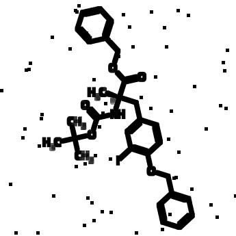 CC(C)(C)OC(=O)N[C@@](C)(Cc1ccc(OCc2ccccc2)c(I)c1)C(=O)OCc1ccccc1